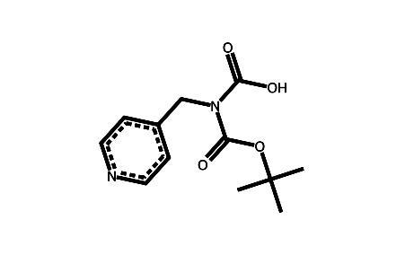 CC(C)(C)OC(=O)N(Cc1ccncc1)C(=O)O